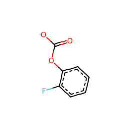 [O]C(=O)Oc1ccccc1F